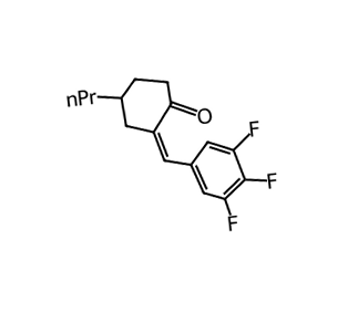 CCCC1CCC(=O)/C(=C\c2cc(F)c(F)c(F)c2)C1